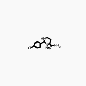 Nc1nnn2c1CCNC2c1ccc(Cl)cc1